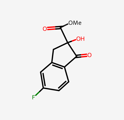 COC(=O)C1(O)Cc2cc(F)ccc2C1=O